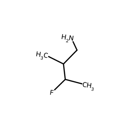 CC(F)C(C)CN